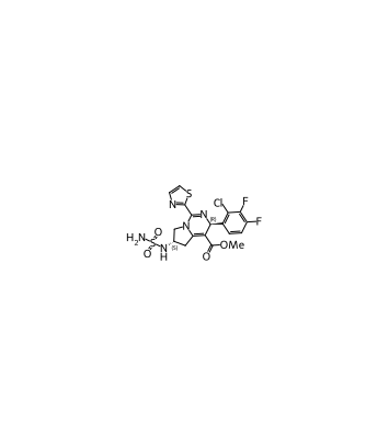 COC(=O)C1=C2C[C@H](NS(N)(=O)=O)CN2C(c2nccs2)=N[C@H]1c1ccc(F)c(F)c1Cl